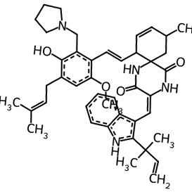 C=CC(C)(C)c1[nH]c2ccccc2c1/C=C1/NC(=O)C2(CC(C)C=CC2/C=C/c2c(OC)cc(CC=C(C)C)c(O)c2CN2CCCC2)NC1=O